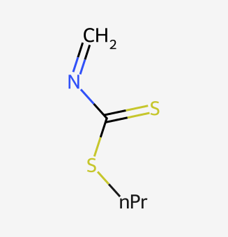 C=NC(=S)SCCC